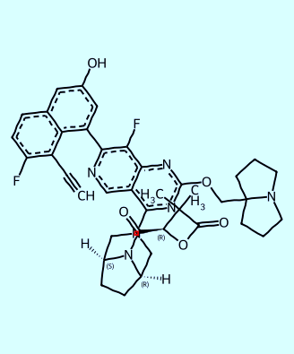 C#Cc1c(F)ccc2cc(O)cc(-c3ncc4c(N5C[C@H]6CC[C@@H](C5)N6C(=O)[C@@H]5OC(=O)C5(C)C)nc(OCC56CCCN5CCC6)nc4c3F)c12